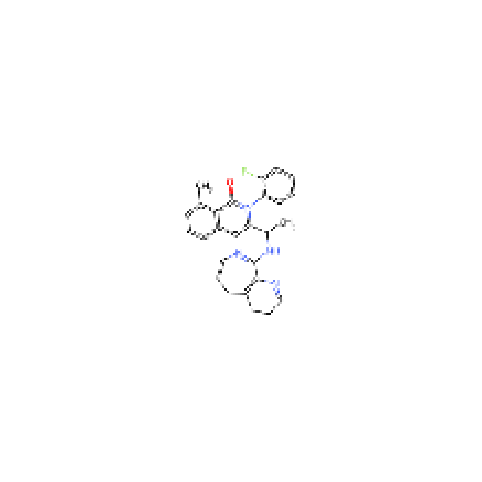 Cc1cccc2cc(C(C)NC3=NC=CCC4=C3N=CCC4)n(-c3ccccc3F)c(=O)c12